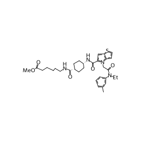 CCN(C(=O)Cn1c(C(=O)N[C@H]2CC[C@@H](C(=O)NCCCCCC(=O)OC)CC2)cc2sccc21)c1cccc(C)c1